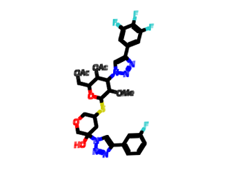 COC1C(SC2COCC(O)(n3cc(-c4cccc(F)c4)nn3)C2)OC(COC(C)=O)C(OC(C)=O)C1n1cc(-c2cc(F)c(F)c(F)c2)nn1